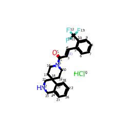 Cl.O=C(/C=C/c1ccccc1C(F)(F)F)N1CCC2(CC1)CNCc1ccccc12